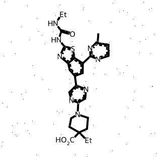 CCNC(=O)Nc1nc2cc(-c3cnc(N4CCC(CC)(C(=O)O)CC4)cn3)cc(-c3nccc(C)n3)c2s1